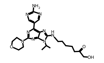 CC(C)n1c(NCCCCCC(=O)CO)nc2c(-c3cnc(N)nc3)nc(N3CCOCC3)nc21